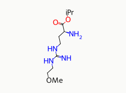 COCCNC(=N)NCC[C@H](N)C(=O)OC(C)C